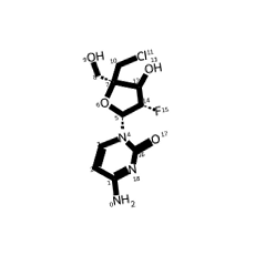 Nc1ccn([C@@H]2O[C@@](CO)(CCl)C(O)[C@@H]2F)c(=O)n1